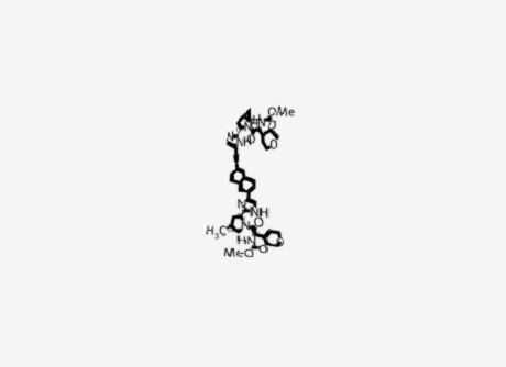 COC(=O)N[C@H](C(=O)N1C[C@@H](C)C[C@H]1c1nc(-c2ccc3cc(C#Cc4cnc([C@@H]5CC6C[C@H]6N5C(=O)[C@@H](NC(=O)OC)C5CCOCC5)[nH]4)ccc3c2)c[nH]1)C1CCOCC1